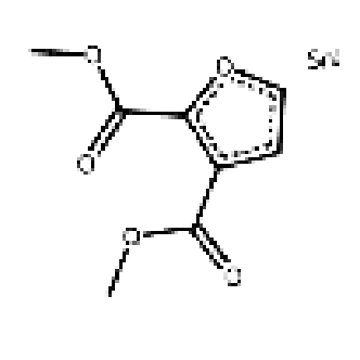 COC(=O)c1ccoc1C(=O)OC.[Sn]